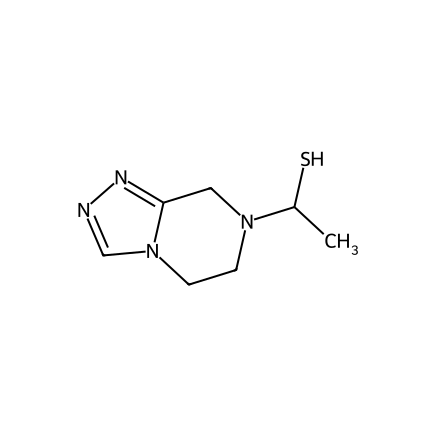 CC(S)N1CCn2cnnc2C1